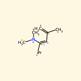 C=C(C)/C=C(/C(C)C)N(C)C